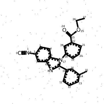 [C-]#[N+]c1ccc2c(c1)nc(-c1cccc(C)c1)n2-c1cccc(C(=O)OCC)c1